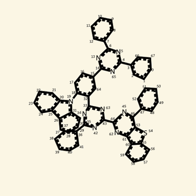 c1ccc(-c2nc(-c3ccccc3)nc(-c3ccc(-n4c5ccccc5c5ccccc54)c(-c4nc(-c5ccccc5)nc(-c5nc(-c6ccccc6)c6sc7ccccc7c6n5)n4)c3)n2)cc1